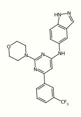 FC(F)(F)c1cccc(-c2cc(Nc3ccc4[nH]ncc4c3)nc(N3CCOCC3)n2)c1